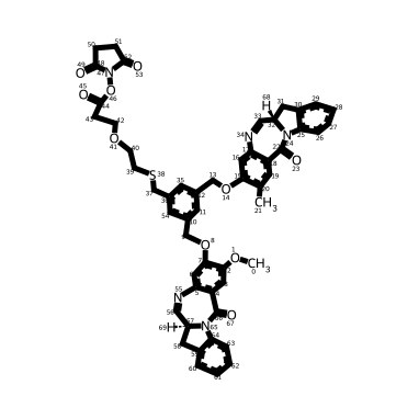 COc1cc2c(cc1OCc1cc(COc3cc4c(cc3C)C(=O)N3c5ccccc5C[C@H]3C=N4)cc(CSCCOCCC(=O)ON3C(=O)CCC3=O)c1)N=C[C@@H]1Cc3ccccc3N1C2=O